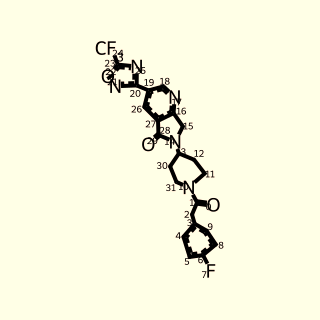 O=C(Cc1ccc(F)cc1)N1CCC(N2Cc3ncc(-c4noc(C(F)(F)F)n4)cc3C2=O)CC1